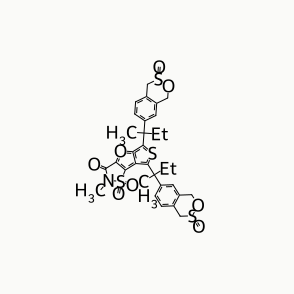 CCC(C)(c1ccc2c(c1)COS(=O)C2)c1sc(C(C)(CC)c2ccc3c(c2)COS(=O)C3)c2c3c(oc12)C(=O)N(C)S3(=O)=O